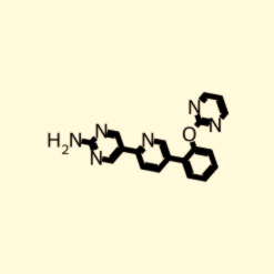 Nc1ncc(-c2ccc(-c3ccccc3Oc3ncccn3)cn2)cn1